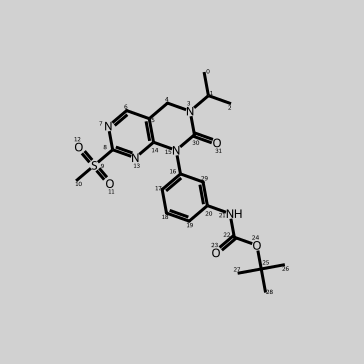 CC(C)N1Cc2cnc(S(C)(=O)=O)nc2N(c2cccc(NC(=O)OC(C)(C)C)c2)C1=O